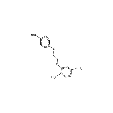 Cc1ccc(C)c(OCCOc2ccc(C(C)(C)C)cc2)c1